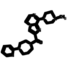 CN1CCN(c2nccn3cc(C(=O)N4CCCN(c5ccccn5)CC4)nc23)CC1